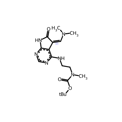 CN(C)/C=C1\C(=O)Nc2ncnc(NCCN(C)C(=O)OC(C)(C)C)c21